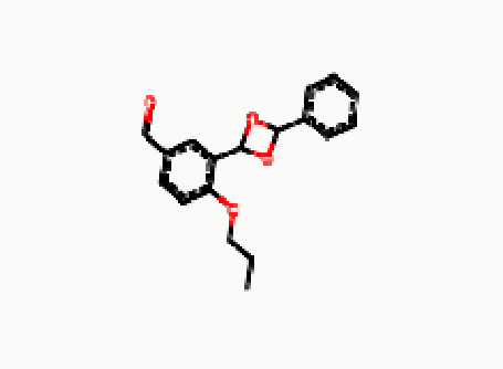 CCCOc1ccc(C=O)cc1C1OC(c2ccccc2)O1